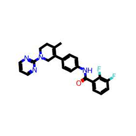 CC1=C(c2ccc(NC(=O)c3cccc(F)c3F)cc2)CN(c2ncccn2)CC1